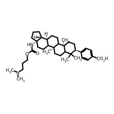 CN(C)CCCOC(=O)N[C@]12CCC[C@@H]1[C@H]1CCC3[C@@](C)(CCC4C(C)(C)[C@H](c5ccc(C(=O)O)cc5)CC[C@@]43C)C1CC2